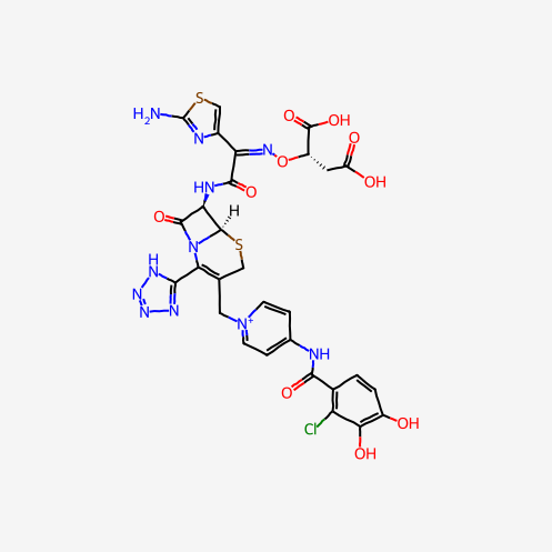 Nc1nc(/C(=N/O[C@@H](CC(=O)O)C(=O)O)C(=O)N[C@@H]2C(=O)N3C(c4nnn[nH]4)=C(C[n+]4ccc(NC(=O)c5ccc(O)c(O)c5Cl)cc4)CS[C@H]23)cs1